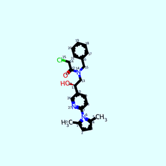 Cc1ccc(C)n1-c1ccc([C@@H](O)CN(Cc2ccccc2)C(=O)CCl)cn1